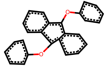 c1ccc(Oc2c3ccccc3c(Oc3ccccc3)c3ccccc23)cc1